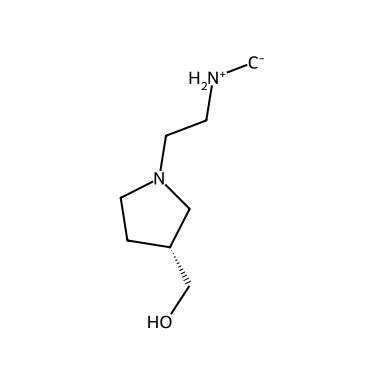 [CH2-][NH2+]CCN1CC[C@@H](CO)C1